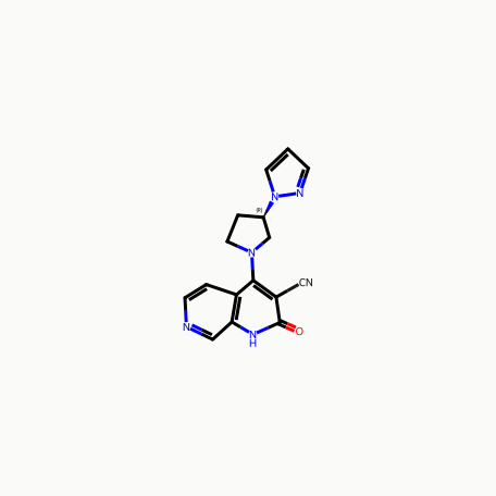 N#Cc1c(N2CC[C@@H](n3cccn3)C2)c2ccncc2[nH]c1=O